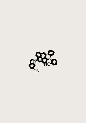 N#Cc1ccc2c(c1)N(c1cc3ccc(N(c4ccccc4)c4ccccc4C#N)c4ccc5cccc1c5c34)CC2